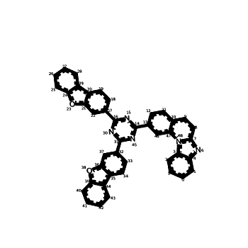 c1ccc2c(c1)nc1ccc3ccc(-c4nc(-c5ccc6c(c5)oc5ccccc56)nc(-c5ccc6c(c5)oc5ccccc56)n4)cc3n12